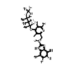 [2H]c1nc(C[S+]([O-])c2nc3c([2H])c([2H])c([2H])c([2H])c3[nH]2)c(C)c(OC([2H])([2H])C([2H])([2H])C([2H])([2H])OC([2H])([2H])[2H])c1[2H]